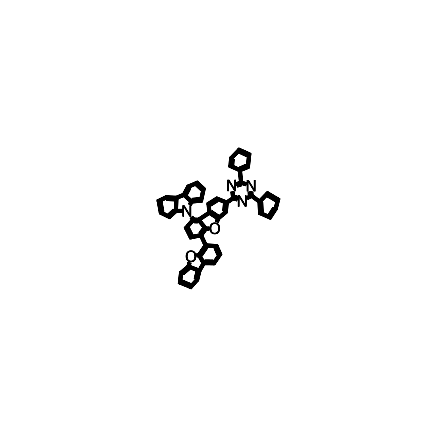 c1ccc(-c2nc(-c3ccccc3)nc(-c3ccc4c(c3)oc3c(-c5cccc6c5oc5ccccc56)ccc(-n5c6ccccc6c6ccccc65)c34)n2)cc1